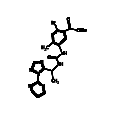 COC(=O)c1cc(NC(=O)NC(C)c2ncnn2-c2ncccn2)c(C)cc1Br